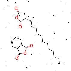 CCCCCCCCCCC=CC1CC(=O)OC1=O.O=C1OC(=O)C2CCC=CC12